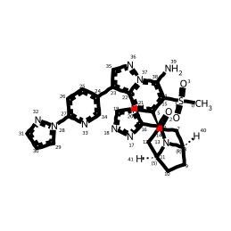 CS(=O)(=O)c1c([C@H]2C[C@H]3CC[C@@H](C2)N3C(=O)c2nnc[nH]2)nc2c(-c3ccc(-n4cccn4)nc3)cnn2c1N